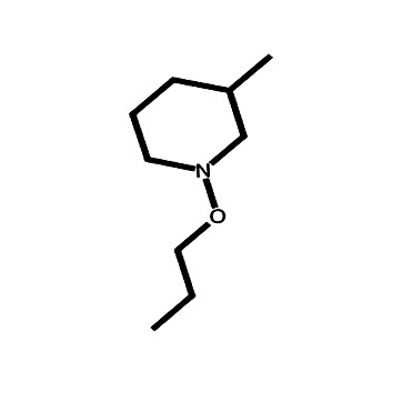 CCCON1CCCC(C)C1